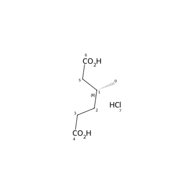 C[C@H](CCC(=O)O)CC(=O)O.Cl